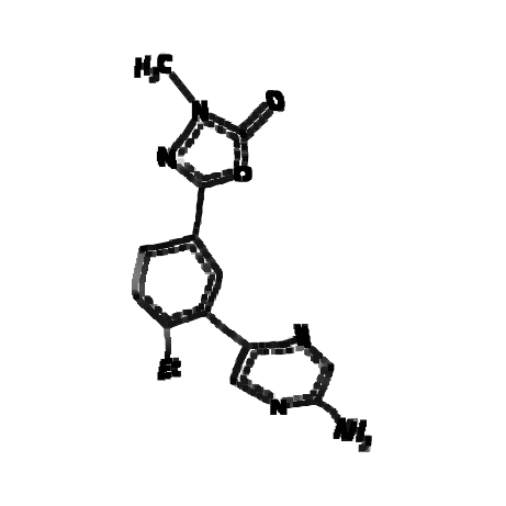 CCc1ccc(-c2nn(C)c(=O)o2)cc1-c1cnc(N)cn1